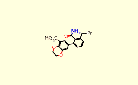 CC(C)Cc1cccc(-c2cc3c(c(C(=O)O)c2)OCCO3)c1C(N)=O